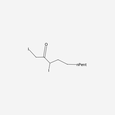 CCCCCCCC(I)C(=O)CI